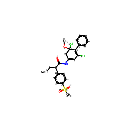 COCC(C(=O)NC1=CC(Cl)=C(c2ccccc2)C(Cl)(OC(F)(F)F)C1)c1ccc(S(C)(=O)=O)cc1